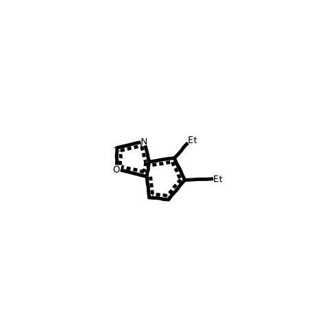 CCc1ccc2o[c]nc2c1CC